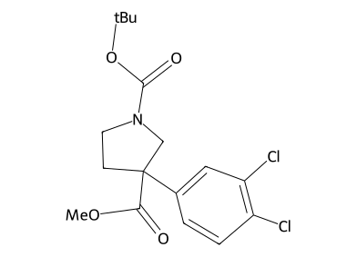 COC(=O)C1(c2ccc(Cl)c(Cl)c2)CCN(C(=O)OC(C)(C)C)C1